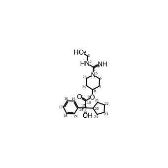 N=C(NCO)N1CCC(OC(=O)[C@](O)(c2ccccc2)C2CCCC2)CC1